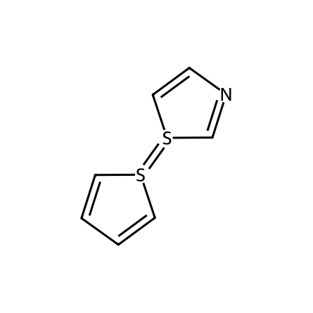 C1=CS(=S2C=CN=C2)C=C1